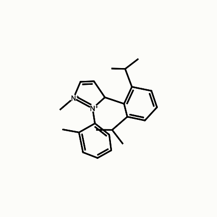 Cc1ccccc1[N+]1=[N+](C)C=CC1c1c(C(C)C)cccc1C(C)C